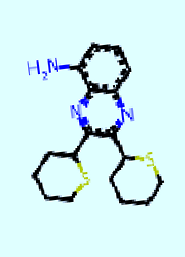 Nc1cccc2nc(C3CCCCS3)c(C3CCCCS3)nc12